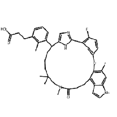 CN1CC(C)(C)CCCC(c2cccc(CCC(=O)O)c2F)c2cnc([nH]2)-c2cc(ccc2F)Oc2c(F)cc3[nH]ccc3c2CCC1=O